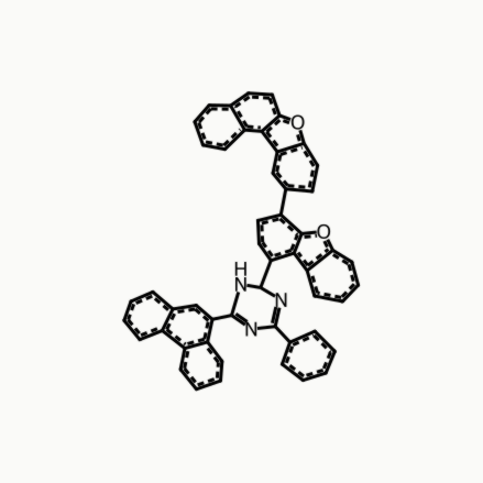 c1ccc(C2=NC(c3ccc(-c4ccc5oc6ccc7ccccc7c6c5c4)c4oc5ccccc5c34)NC(c3cc4ccccc4c4ccccc34)=N2)cc1